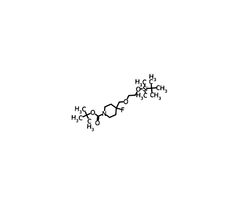 CC(C)(C)OC(=O)N1CCC(F)(COCCO[Si](C)(C)C(C)(C)C)CC1